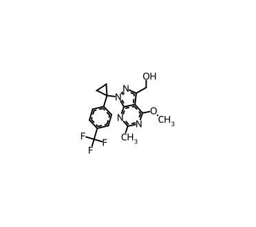 COc1nc(C)nc2c1c(CO)nn2C1(c2ccc(C(F)(F)F)cc2)CC1